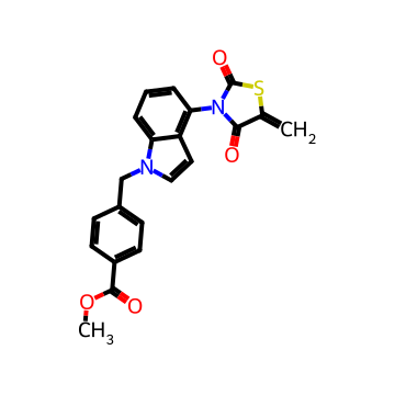 C=C1SC(=O)N(c2cccc3c2ccn3Cc2ccc(C(=O)OC)cc2)C1=O